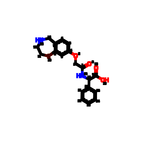 O=C(COc1ccc2c(c1)SCCNC2)N[C@@H](C(=O)O)c1ccccc1